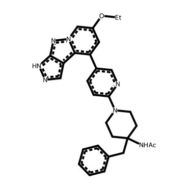 CCOc1cc(-c2ccc(N3CCC(Cc4ccccc4)(NC(C)=O)CC3)nc2)c2c3cn[nH]c3nn2c1